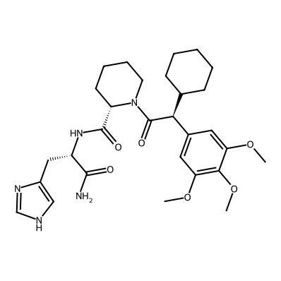 COc1cc([C@@H](C(=O)N2CCCC[C@H]2C(=O)N[C@@H](Cc2c[nH]cn2)C(N)=O)C2CCCCC2)cc(OC)c1OC